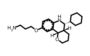 NCCCOc1ccc2c(c1)[C@H]1OCCC[C@H]1[C@@H](C1CCCCC1)N2